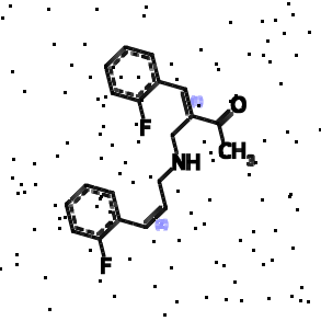 CC(=O)/C(=C/c1ccccc1F)CNC/C=C\c1ccccc1F